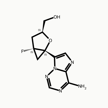 Nc1ncnn2c([C@@]34C[C@@]3(F)C[C@@H](CO)O4)cnc12